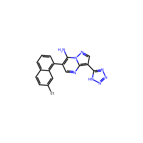 CCc1ccc2cccc(-c3cnc4c(-c5nnn[nH]5)cnn4c3N)c2c1